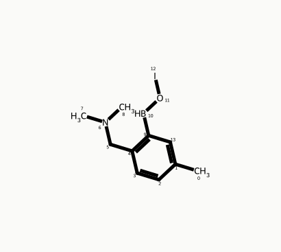 Cc1ccc(CN(C)C)c(BOI)c1